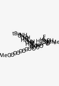 COCCOCCOCCOCCOCCOCCOCCOCCNC(=O)C(COC(=O)NCCC(=O)NCCC[C@@]1(c2ccccc2)SC(c2cc(F)ccc2F)=NN1C(=O)N(C)OC)NC(=O)CNC(=O)CNC(=O)CNC(=O)CNC(=O)CCNC(=O)CC(C)(C)C